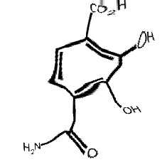 NC(=O)c1ccc(C(=O)O)c(O)c1O